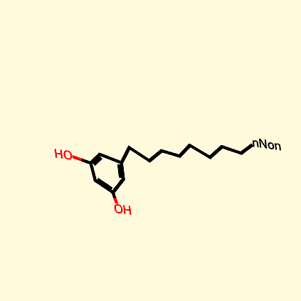 CCCCCCCCCCCCCCCCCc1cc(O)cc(O)c1